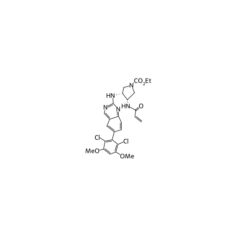 C=CC(=O)N[C@H]1CN(C(=O)OCC)C[C@H]1Nc1ncc2cc(-c3c(Cl)c(OC)cc(OC)c3Cl)ccc2n1